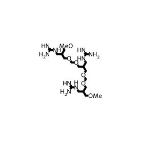 COCC(CNC(=N)N)COCOCC(CNC(=N)N)COCOCC(CNC(=N)N)COC